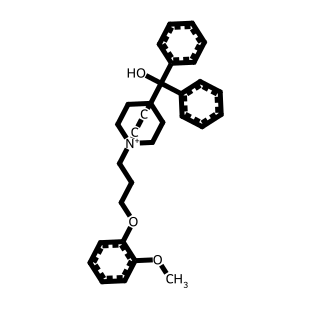 COc1ccccc1OCCC[N+]12CCC(C(O)(c3ccccc3)c3ccccc3)(CC1)CC2